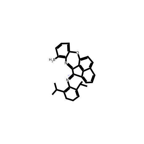 Bc1cccc2oc3ccc4cccc5/c(=N\C6=C(C(C)C)CCC=C6C(C)C)c(nc12)c3c45